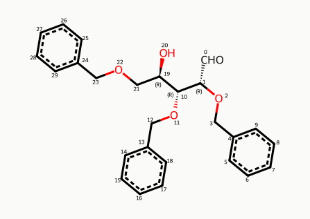 O=C[C@H](OCc1ccccc1)[C@H](OCc1ccccc1)[C@H](O)COCc1ccccc1